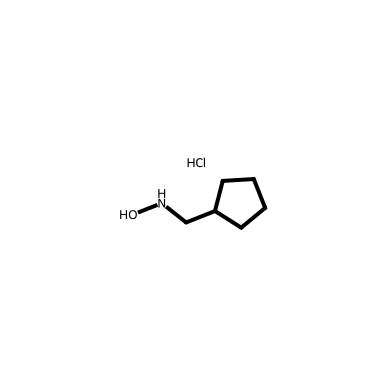 Cl.ONCC1CCCC1